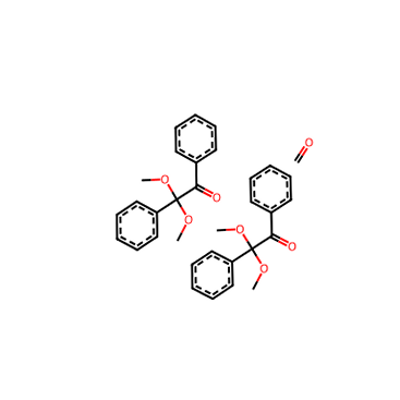 C=O.COC(OC)(C(=O)c1ccccc1)c1ccccc1.COC(OC)(C(=O)c1ccccc1)c1ccccc1